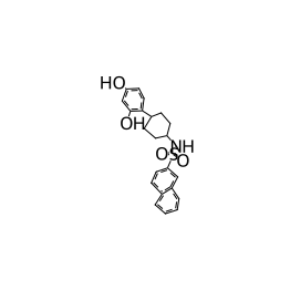 O=S(=O)(NC1CCC(c2ccc(O)cc2O)CC1)c1ccc2ccccc2c1